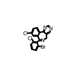 Clc1ccc2c(c1)C(c1c(Cl)cccc1Br)=NCc1cncnc1-2